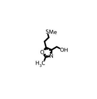 CSCCc1oc(C)nc1CO